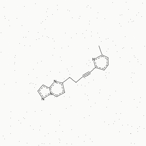 Cc1cccc(C#CCCc2ccn3nccc3n2)n1